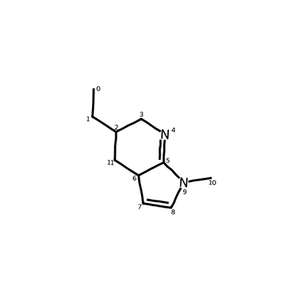 CCC1CN=C2C(C=CN2C)C1